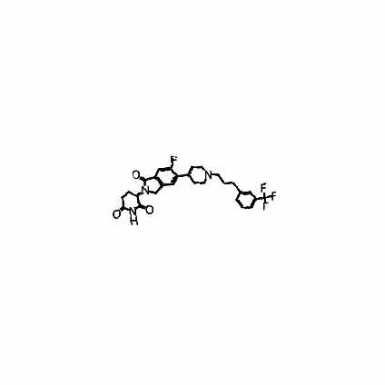 O=C1CCC(N2Cc3cc(C4CCN(CCCc5cccc(C(F)(F)F)c5)CC4)c(F)cc3C2=O)C(=O)N1